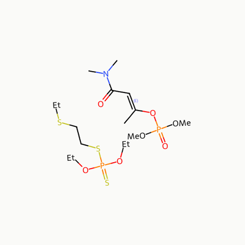 CCOP(=S)(OCC)SCCSCC.COP(=O)(OC)O/C(C)=C/C(=O)N(C)C